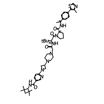 Cc1ncsc1-c1ccc([C@H](C)NC(=O)[C@@H]2CCCN2C(=O)[C@@H](NC(=O)CN2CCN(C3CN(c4ccc(C(=O)NC5C(C)(C)CC5(C)C)cn4)C3)CC2)C(C)(C)C)cc1